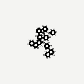 c1ccc(N2c3ccccc3[Si](c3ccccc3)(c3ccccc3)c3cc(N(c4ccc(-c5cccc6ccccc56)cc4)c4ccc5c(ccc6ccccc65)c4)ccc32)cc1